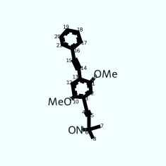 COc1cc(C#CC(C)(C)N=O)c(OC)cc1C#Cc1ccccc1